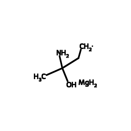 [CH2]CC(C)(N)O.[MgH2]